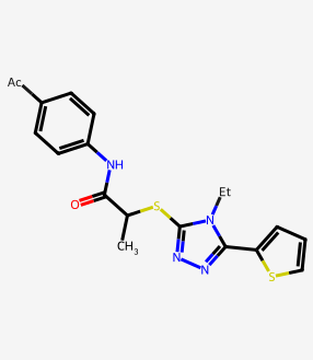 CCn1c(SC(C)C(=O)Nc2ccc(C(C)=O)cc2)nnc1-c1cccs1